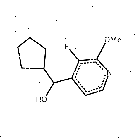 COc1nccc(C(O)C2CCCC2)c1F